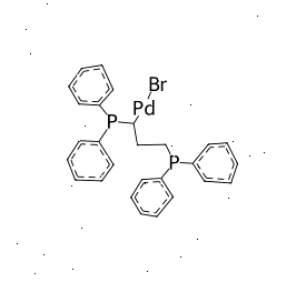 [Br][Pd][CH](CCP(c1ccccc1)c1ccccc1)P(c1ccccc1)c1ccccc1